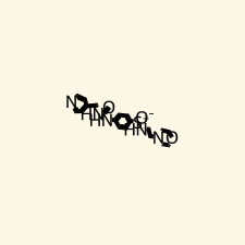 O=C(NCc1ccncc1)Nc1ccc([S+]([O-])NCCN2CCOCC2)cc1